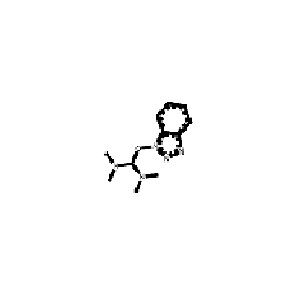 CN(C)[C](On1nnc2ccccc21)N(C)C